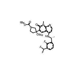 COC1(c2cc3c(N[C@H](C)c4cccc(C(F)F)c4F)ccnc3n(C)c2=O)CCN(C(=O)OC(C)(C)C)C1